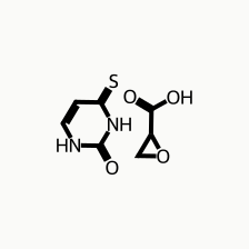 O=C(O)C1CO1.O=c1[nH]ccc(=S)[nH]1